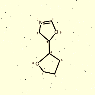 C1=NCC(C2CCCO2)O1